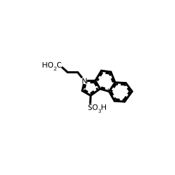 O=C(O)CCn1cc(S(=O)(=O)O)c2c3ccccc3ccc21